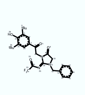 CC(C)(C)c1cc(C(=O)CN2C(=O)CN(Cc3ccccc3)/C2=N/C(=O)C(F)(F)F)cc(C(C)(C)C)c1O